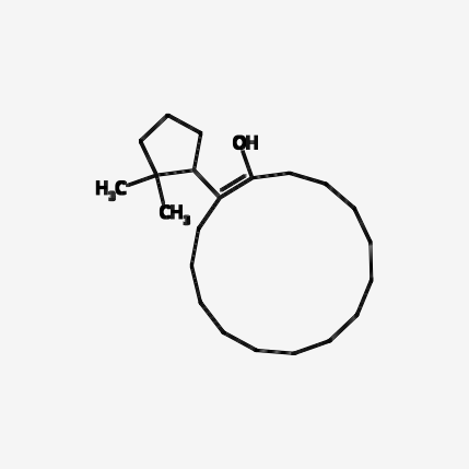 CC1(C)CCCC1/C1=C(\O)CCCCCCCCCCCCC1